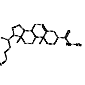 CCCCNC(=O)C1CCC2(C)C(=CCC3C2CCC2(C)C(C(C)CCCC(C)C)CCC32)C1